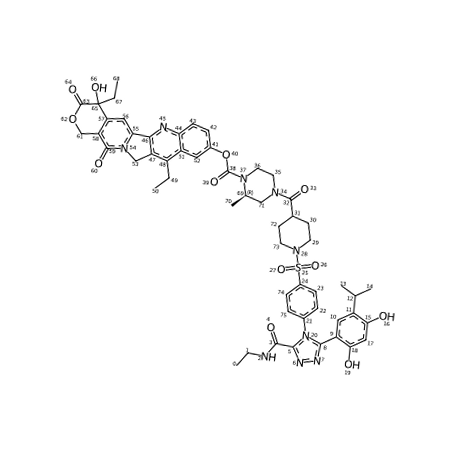 CCNC(=O)c1nnc(-c2cc(C(C)C)c(O)cc2O)n1-c1ccc(S(=O)(=O)N2CCC(C(=O)N3CCN(C(=O)Oc4ccc5nc6c(c(CC)c5c4)Cn4c-6cc5c(c4=O)COC(=O)C5(O)CC)[C@H](C)C3)CC2)cc1